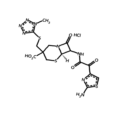 Cl.Cn1nnnc1SCC1(C(=O)O)CS[C@@H]2C(NC(=O)C(=O)c3csc(N)n3)C(=O)N2C1